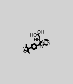 Cc1noc(C)c1-c1ccc(-c2nc3cnccn3c2NCC(O)O)cc1